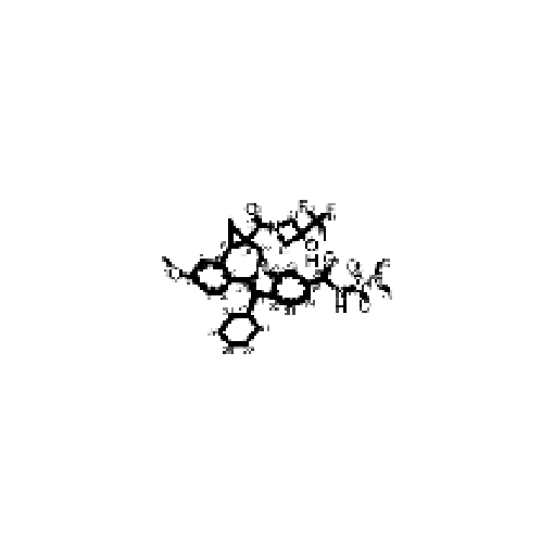 COc1ccc2c(c1)C1CC1(C(=O)N1CC(O)(C(F)(F)F)C1)Cn1c-2c(C2CCCCC2)c2ccc(C(=O)NS(=O)(=O)N(C)C)cc21